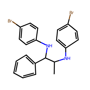 CC(Nc1ccc(Br)cc1)C(Nc1ccc(Br)cc1)c1ccccc1